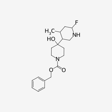 CC1CC(F)NCC1C1(O)CCN(C(=O)OCc2ccccc2)CC1